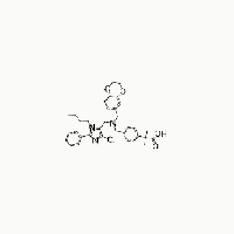 CCCCn1c(-c2ccccc2)nc(Cl)c1CN(Cc1ccc(C(C)(C)C(=O)O)cc1)Cc1ccc2c(c1)OCCO2